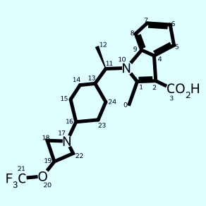 Cc1c(C(=O)O)c2ccccc2n1[C@H](C)C1CCC(N2CC(OC(F)(F)F)C2)CC1